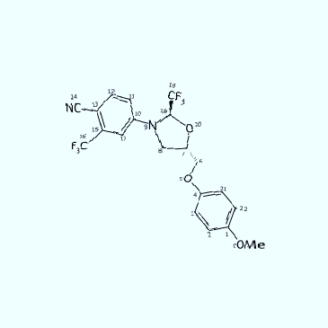 COc1ccc(OC[C@@H]2CN(c3ccc(C#N)c(C(F)(F)F)c3)[C@@H](C(F)(F)F)O2)cc1